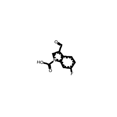 O=Cc1cn(C(=O)O)c2cc(F)ccc12